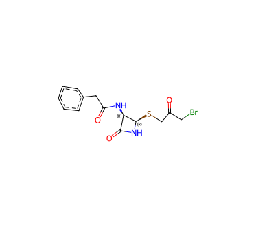 O=C(CBr)CS[C@H]1NC(=O)[C@H]1NC(=O)Cc1ccccc1